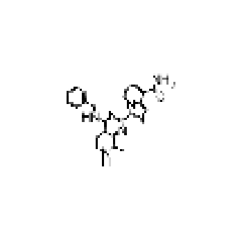 CC1NCCc2c(NCc3ccccc3)nc(-c3ncc4c(C(N)=O)cccn34)nc21